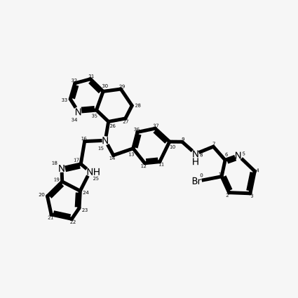 Brc1cccnc1CNCc1ccc(CN(Cc2nc3ccccc3[nH]2)C2CCCc3cccnc32)cc1